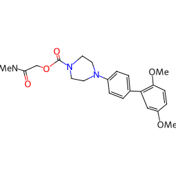 CNC(=O)COC(=O)N1CCN(c2ccc(-c3cc(OC)ccc3OC)cc2)CC1